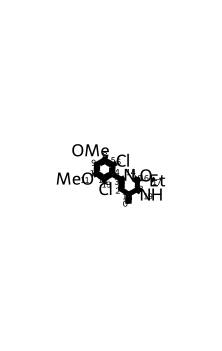 C=C1C=C(c2c(Cl)c(OC)cc(OC)c2Cl)N=C(OCC)C1=N